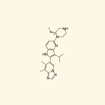 CC[C@H]1CNCCN1c1ccc2[nH]c(-c3cn4ncnc4c(C)c3C)c(C(C)C)c2n1